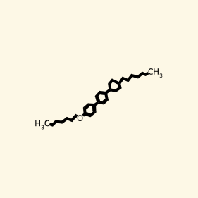 CCCCCCCOc1ccc(-c2ccc(C3CCC(CCCCCCC)CC3)cc2)cc1